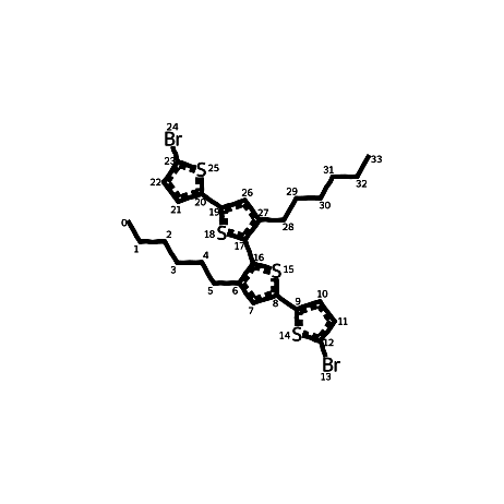 CCCCCCc1cc(-c2ccc(Br)s2)sc1-c1sc(-c2ccc(Br)s2)cc1CCCCCC